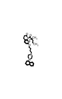 CCCC(C)(C)C(=O)N1C(=O)CCc2ccc(OCCCCN3CCN(c4cccc5ccccc45)CC3)nc21